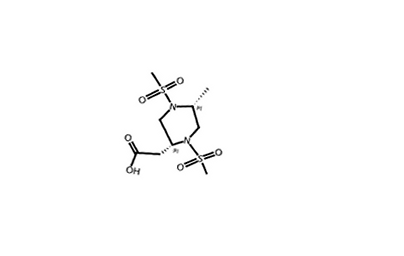 C[C@@H]1CN(S(C)(=O)=O)[C@H](CC(=O)O)CN1S(C)(=O)=O